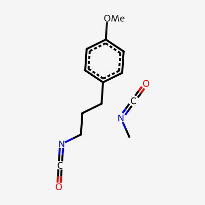 CN=C=O.COc1ccc(CCCN=C=O)cc1